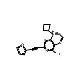 CCC(C)/C=N\c1c(C)nc(C#Cc2ccco2)nc1NC1CCC1